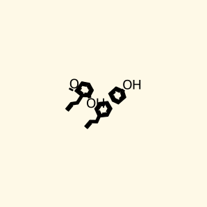 C=CCc1ccccc1.C=CCc1ccccc1O.C=O.Oc1ccccc1